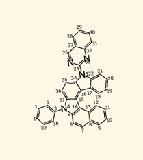 c1ccc(-n2c3ccc4ccccc4c3c3c4c5ccccc5n(-c5ncc6ccccc6n5)c4ccc32)cc1